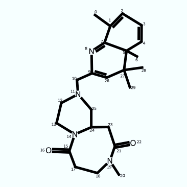 CC1=CC=CC2(C)C1=NC(CN1CCN3C(=O)CCN(C)C(=O)CC3C1)=CC2(C)C